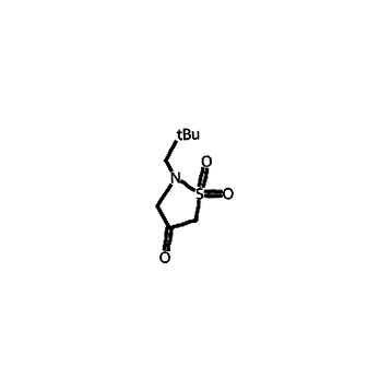 CC(C)(C)CN1CC(=O)CS1(=O)=O